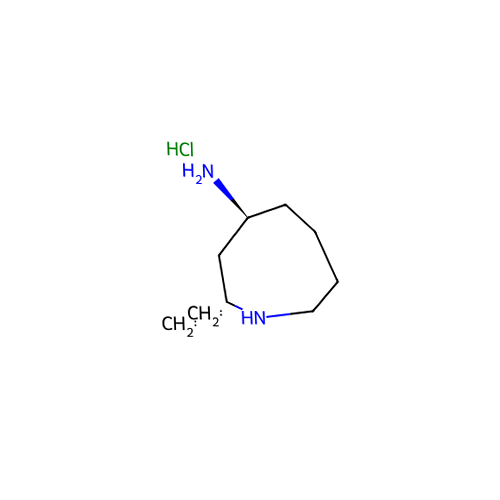 Cl.N[C@H]1CCCCNCC1.[CH2].[CH2]